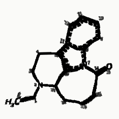 CCN1CCc2c3n(c4ccccc24)C(=O)CCCC31